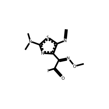 C=Nc1sc(N(C)C)nc1C(=NOC)C(=O)I